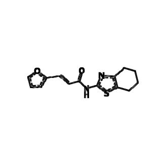 O=C(C=Cc1ccco1)Nc1nc2c(s1)CCCC2